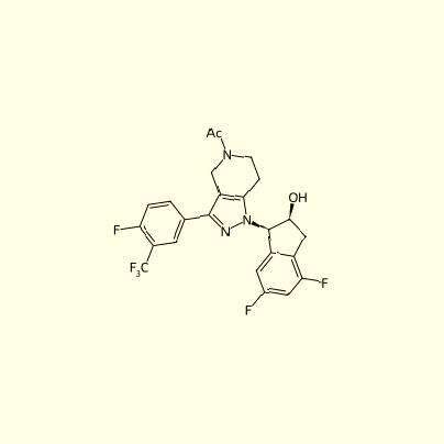 CC(=O)N1CCc2c(c(-c3ccc(F)c(C(F)(F)F)c3)nn2[C@@H]2c3cc(F)cc(F)c3C[C@@H]2O)C1